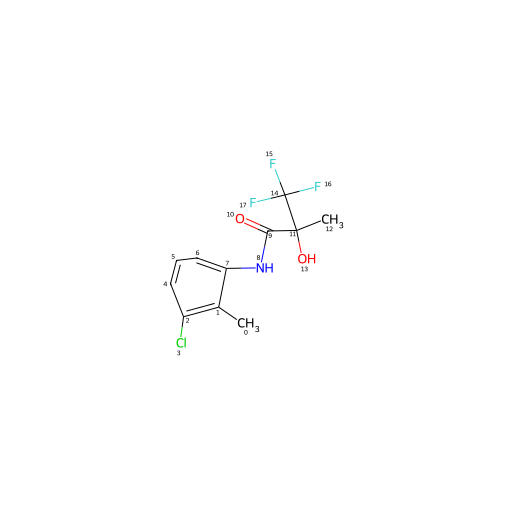 Cc1c(Cl)cccc1NC(=O)C(C)(O)C(F)(F)F